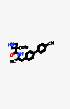 COC1(C(=O)NC(C#N)Cc2ccc(-c3ccc(C#N)cc3)cc2)CNC1